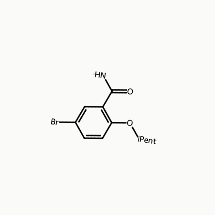 CCCC(C)Oc1ccc(Br)cc1C([NH])=O